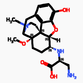 CO[C@@]12CC[C@@H](N[C@@H](CN)C(=O)O)[C@@H]3Oc4c(O)ccc5c4[C@@]31CCN(C)C2C5